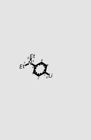 [Li][c]1ccc(N(CC)CC)cc1